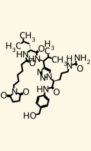 CC(C)C[C@@H](NC(=O)CCCCCN1C(=O)CCC1=O)C(=O)N[C@H](c1cn([C@@H](CCCNC(N)=O)C(=O)Nc2ccc(CO)cc2)nn1)C(C)C